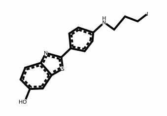 Oc1ccc2nc(-c3ccc(NCCCI)cc3)sc2c1